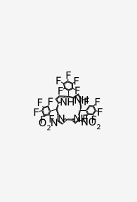 O=[N+]([O-])C1=Cc2nc1c(-c1c(F)c(F)c(F)c(F)c1F)c1ccc([nH]1)c(-c1c(F)c(F)c(F)c(F)c1F)c1ccc([nH]1)c(-c1c(F)c(F)c(F)c(F)c1F)c1[nH]c2cc1[N+](=O)[O-]